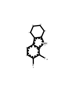 Fc1ccc2c3c([nH]c2c1F)CCCC3